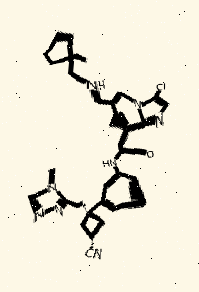 Cn1cnnc1C[C@]1(c2cccc(NC(=O)c3cc(CNCC4(C)CCCC4)cn4c(Cl)cnc34)c2)C[C@H](C#N)C1